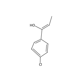 CC=C(O)c1ccc(Cl)cc1